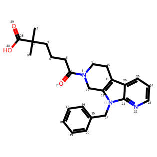 CC(C)(CCCC(=O)N1CCc2c(n(Cc3ccccc3)c3ncccc23)C1)C(=O)O